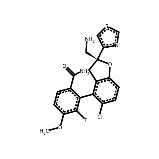 COc1ccc(C(N)=O)c(-c2c(Cl)ccc3c2C[C@](CN)(c2cscn2)O3)c1F